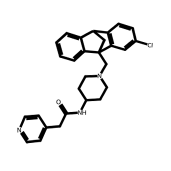 O=C(Cc1ccncc1)NC1CCN(CC23CC(c4ccccc42)c2ccc(Cl)cc23)CC1